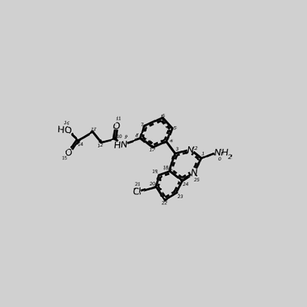 Nc1nc(-c2cccc(NC(=O)CCC(=O)O)c2)c2cc(Cl)ccc2n1